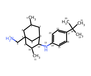 CC1CC2CC(CN)(C1)CC(C)C2Nc1ccc(C(C)(C)C)cc1